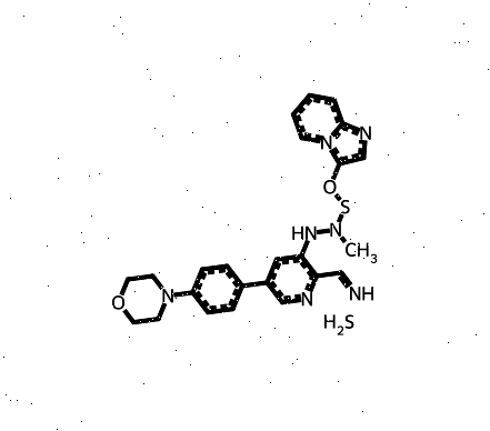 CN(Nc1cc(-c2ccc(N3CCOCC3)cc2)cnc1C=N)SOc1cnc2ccccn12.S